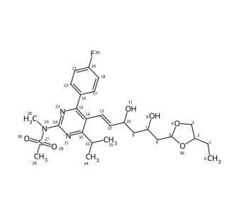 CCC1COC(CC(O)CC(O)/C=C/c2c(-c3ccc(F)cc3)nc(N(C)S(C)(=O)=O)nc2C(C)C)O1